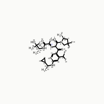 C/C(=N\C(C(=O)N1CC(F)(F)C[C@@H]1C)C(=S)c1cnc(N[C@@H](C)C2CC2)cc1C(F)F)C(=O)N[C@H](C)C(C)(C)O